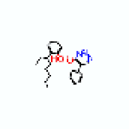 CCCCCC(CC)c1ccccc1O.COc1nnncc1-c1ccccc1